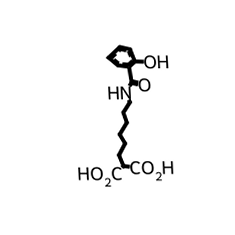 O=C(NCCCCCCC(C(=O)O)C(=O)O)c1ccccc1O